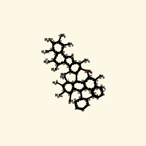 Bc1c(-c2c3c(B)c(B)c(B)c(B)c3c(-c3ccccc3-c3ccccc3)c3c(B)c(B)c(B)c(B)c23)c(B)c2c(oc3c4c(B)c(B)c(B)c(B)c4c(B)c(B)c32)c1B